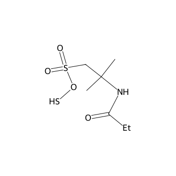 CCC(=O)NC(C)(C)CS(=O)(=O)OS